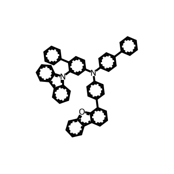 c1ccc(-c2ccc(N(c3ccc(-c4cccc5c4oc4ccccc45)cc3)c3ccc(-c4ccccc4)c(-n4c5ccccc5c5ccccc54)c3)cc2)cc1